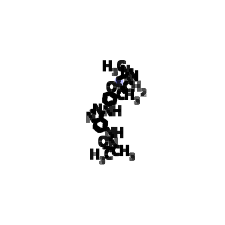 C=N/C(=C\c1nncn1C)Oc1ccc(Nc2ncnc3ccc(NC4=NC(C)(C)CO4)cc23)cc1C